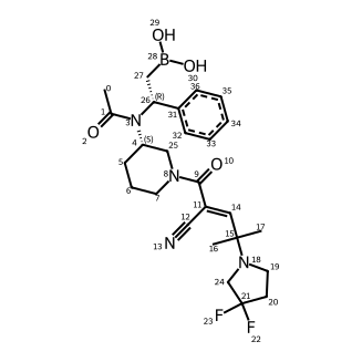 CC(=O)N([C@H]1CCCN(C(=O)C(C#N)=CC(C)(C)N2CCC(F)(F)C2)C1)[C@H](CB(O)O)c1ccccc1